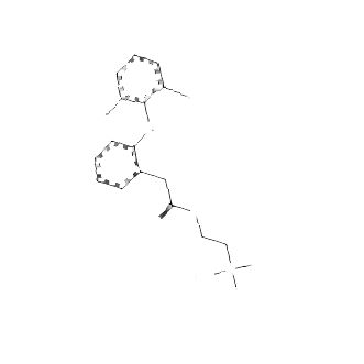 CS(C)(C)CCOC(=O)Cc1ccccc1Nc1c(Cl)cccc1Cl